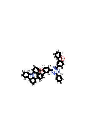 c1ccc(-c2nc(-c3ccc4oc5ccccc5c4c3)nc(-c3ccc4oc5cc(-c6cccc7c8ccccc8n(-c8ccccc8)c67)ccc5c4c3)n2)cc1